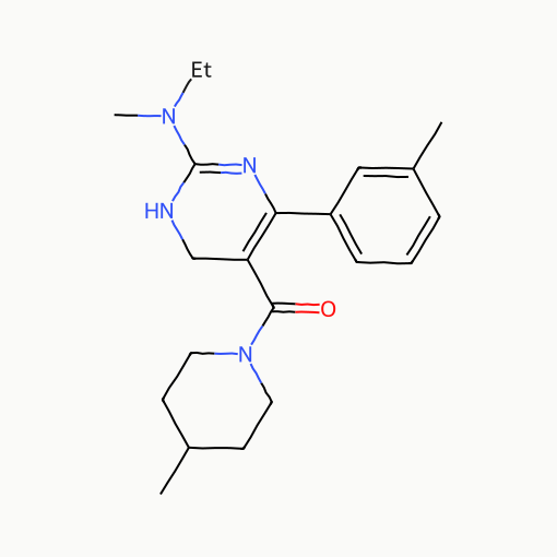 CCN(C)C1=NC(c2cccc(C)c2)=C(C(=O)N2CCC(C)CC2)CN1